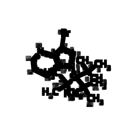 CC(C)(C)[Si](n1cc(Br)c2ncccc21)(C(C)(C)C)C(C)(C)C